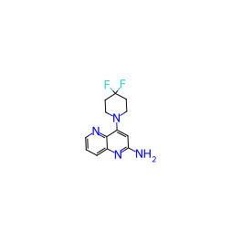 Nc1cc(N2CCC(F)(F)CC2)c2ncccc2n1